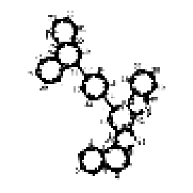 c1ccc2c(c1)ccc1sc3c(cc(-c4ccc(-c5cc6cccnc6c6ccccc56)cc4)n4c5ccccc5nc34)c12